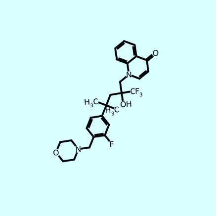 CC(C)(CC(O)(Cn1ccc(=O)c2ccccc21)C(F)(F)F)c1ccc(CN2CCOCC2)c(F)c1